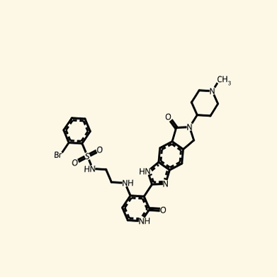 CN1CCC(N2Cc3cc4nc(-c5c(NCCNS(=O)(=O)c6ccccc6Br)cc[nH]c5=O)[nH]c4cc3C2=O)CC1